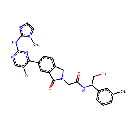 Cc1cccc(C(CO)NC(=O)CN2Cc3ccc(-c4nc(Nc5nccn5C)ncc4Cl)cc3C2=O)c1